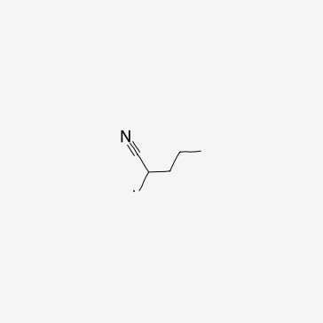 [CH2]C(C#N)CCC